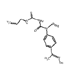 C=CCOC(=O)NC(=O)N(c1ccc(C(C)=NO)cc1)C(C)CCC